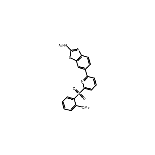 COc1ccccc1S(=O)(=O)c1cccc(-c2ccc3nc(NC(C)=O)sc3c2)n1